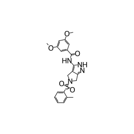 COc1cc(OC)cc(C(=O)Nc2[nH]nc3c2CN(S(=O)(=O)c2ccccc2C)C3)c1